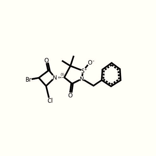 CC1(C)[C@@H](N2C(=O)C(Br)C2Cl)C(=O)N(Cc2ccccc2)[S+]1[O-]